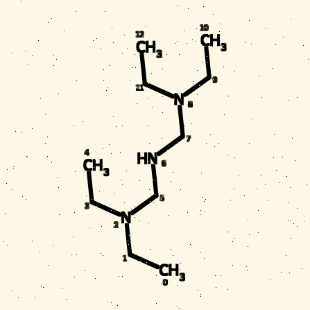 CCN(CC)CNCN(CC)CC